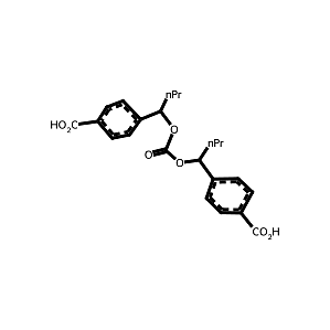 CCCC(OC(=O)OC(CCC)c1ccc(C(=O)O)cc1)c1ccc(C(=O)O)cc1